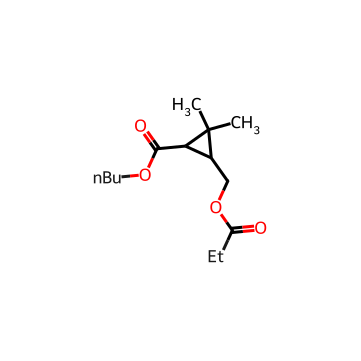 CCCCOC(=O)C1C(COC(=O)CC)C1(C)C